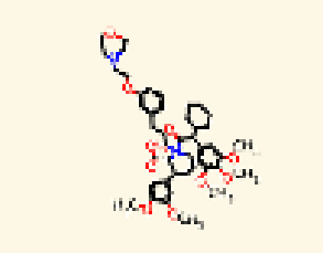 COc1ccc(C2CCC[N@@+](CCCc3cccc(OCCN4CCOCC4)c3)(C(=O)[C@H](c3cc(OC)c(OC)c(OC)c3)C3CCCCC3)[C@H]2C(=O)O)cc1OC